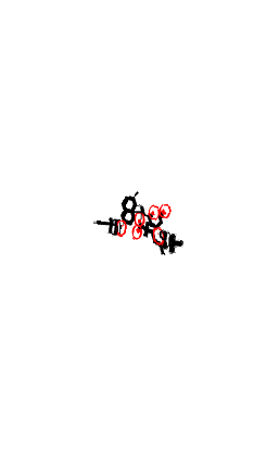 CCCCC(C)(C)C(=O)O[C@H]1C[C@H](O[Si](C)(C)C(C)(C)C)C=C2C=C[C@@H](C)[C@H](CC[C@@H]3C[C@@H](O[Si](C)(C)C(C)(C)C)CC(=O)O3)[C@H]21